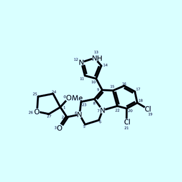 COC1(C(=O)N2CCn3c(c(-c4cn[nH]c4)c4ccc(Cl)c(Cl)c43)C2)CCOC1